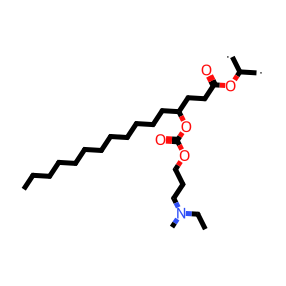 [CH2]C([CH2])OC(=O)CCC(CCCCCCCCCCCC)OC(=O)OCCCN(C)CC